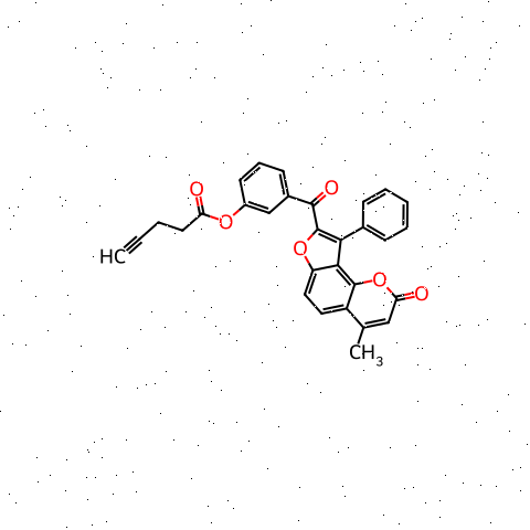 C#CCCC(=O)Oc1cccc(C(=O)c2oc3ccc4c(C)cc(=O)oc4c3c2-c2ccccc2)c1